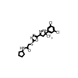 O=C(CSc1nnc(C2=NNC(c3cc(Cl)cc(Cl)c3)(C(F)(F)F)C2)o1)NC1CCCC1